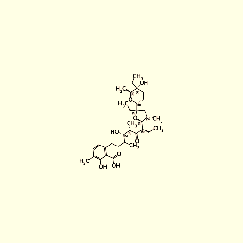 CC[C@@H](C(=O)[C@@H](C)[C@@H](O)C(C)CCc1ccc(C)c(O)c1C(=O)O)[C@H]1O[C@](CC)([C@H]2CC[C@](O)(CC)[C@H](C)O2)C[C@@H]1C